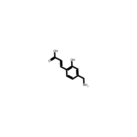 NCc1ccc(/C=C/C(=O)O)c(O)c1